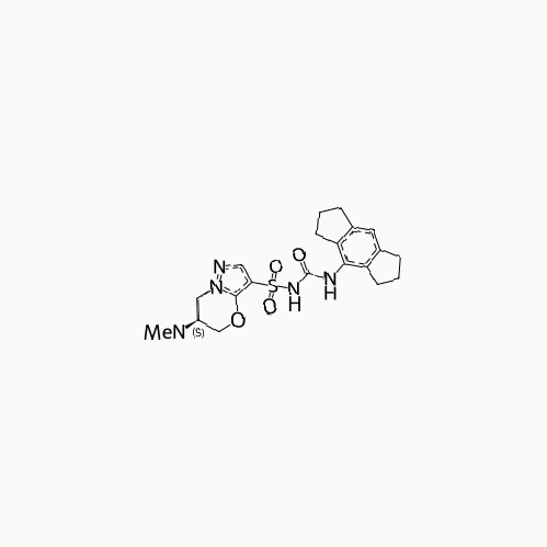 CN[C@@H]1COc2c(S(=O)(=O)NC(=O)Nc3c4c(cc5c3CCC5)CCC4)cnn2C1